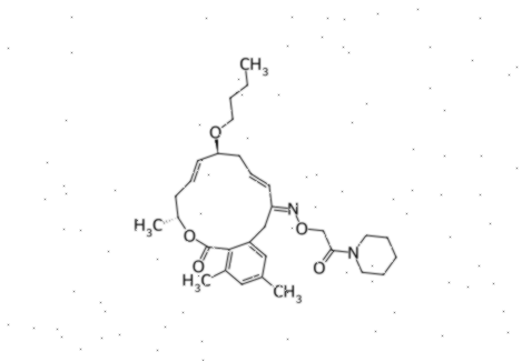 CCCCO[C@@H]1/C=C/C[C@@H](C)OC(=O)c2c(C)cc(C)cc2CC(=N\OCC(=O)N2CCCCC2)/C=C/C1